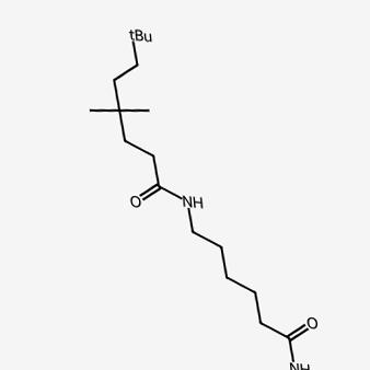 CC(C)(C)CCC(C)(C)CCC(=O)NCCCCCC(N)=O